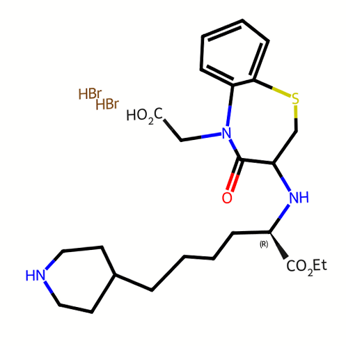 Br.Br.CCOC(=O)[C@@H](CCCCC1CCNCC1)NC1CSc2ccccc2N(CC(=O)O)C1=O